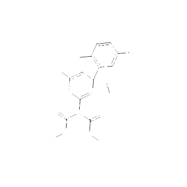 CC1=C[C@@](CF)(c2cc(N)ccc2F)N=C(N(C(=O)OC(C)(C)C)C(=O)OC(C)(C)C)O1